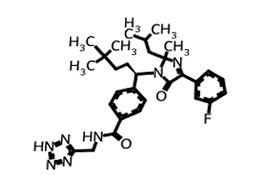 CC(C)CC1(C)N=C(c2cccc(F)c2)C(=O)N1[C@H](CCC(C)(C)C)c1ccc(C(=O)NCc2nn[nH]n2)cc1